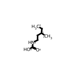 CCC(C)CCNC(=O)O